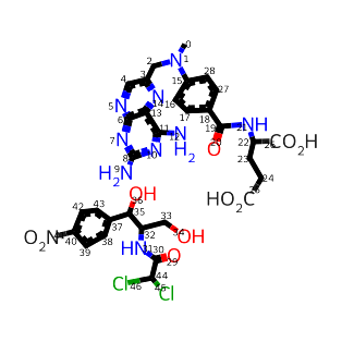 CN(Cc1cnc2nc(N)nc(N)c2n1)c1ccc(C(=O)NC(CCC(=O)O)C(=O)O)cc1.O=C(NC(CO)C(O)c1ccc([N+](=O)[O-])cc1)C(Cl)Cl